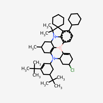 CC1CC2=C3B(C4=CCC(Cl)CC4N2C2C=C(C(C)(C)C)CC(C(C)(C)C)C2)c2ccc(C4CCCCC4)c4c2N(C3C1)C(C)(C)C41CCCCC1